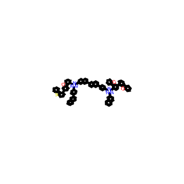 c1ccc2cc(-c3ccc(-c4nc(-c5ccc6ccc(-c7ccc8cc(-c9ccc(-c%10nc(-c%11ccc%12ccccc%12c%11)nc(-c%11ccc(-c%12cccc%13c%12oc%12ccccc%12%13)c%12oc%13ccccc%13c%11%12)n%10)cc9)ccc8c7)cc6c5)nc(-c5cccc6oc7cc(-c8cccc9sc%10ccccc%10c89)ccc7c56)n4)cc3)ccc2c1